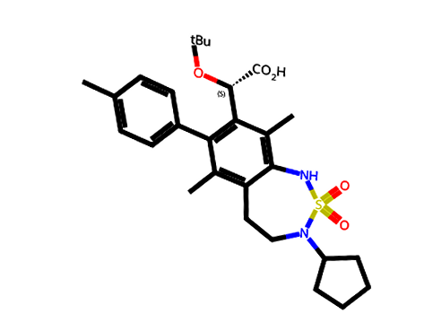 Cc1ccc(-c2c(C)c3c(c(C)c2[C@H](OC(C)(C)C)C(=O)O)NS(=O)(=O)N(C2CCCC2)CC3)cc1